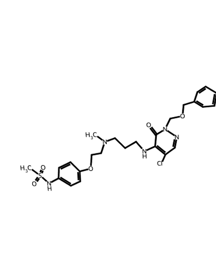 CN(CCCNc1c(Cl)cnn(COCc2ccccc2)c1=O)CCOc1ccc(NS(C)(=O)=O)cc1